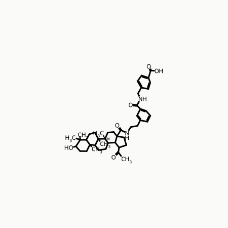 CC(=O)C1CCC2(C(=O)NCCc3cccc(C(=O)NCc4ccc(C(=O)O)cc4)c3)CC[C@]3(C)C(CCC4C5(C)CCC(O)C(C)(C)C5CCC43C)C12